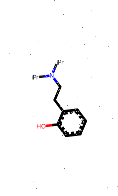 CC(C)N(CCc1ccccc1O)C(C)C